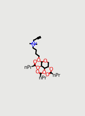 C#CC[N+](C)(C)CCCCOC1OC[C@H](OC(=O)CCC)C(OC(=O)CCC)[C@H]1OC(=O)CCC